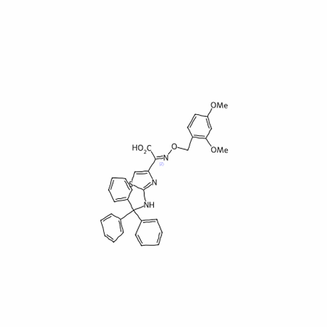 COc1ccc(CO/N=C(\C(=O)O)c2csc(NC(c3ccccc3)(c3ccccc3)c3ccccc3)n2)c(OC)c1